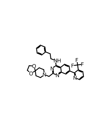 FC(F)(F)c1cccnc1-c1ccc2c(NCCc3ccccc3)nc(CN3CCC4(CC3)OCCO4)nc2c1